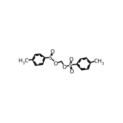 Cc1ccc(S(=O)OCOS(=O)(=O)c2ccc(C)cc2)cc1